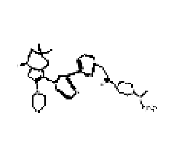 CN(C(=O)O)C1CCN(C(=O)Cc2cccc(-c3cc(-c4c(N5CCOCC5)sc5c4CC(C)(C)CC5=O)ccn3)c2)CC1